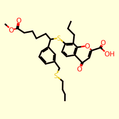 CCCCSCc1cccc(C(CCCCC(=O)OC)Sc2ccc3c(=O)cc(C(=O)O)oc3c2CCC)c1